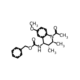 COc1ccc2c(c1)[C@H](NC(=O)OCc1ccccc1)[C@@H](C)[C@H](C)N2C(C)=O